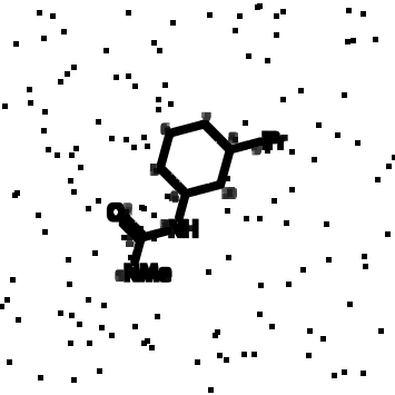 CNC(=O)NC1CCCC(C(C)C)C1